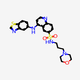 O=S(=O)(NCCCN1CCOCC1)c1ccc2nccc(Nc3ccc4scnc4c3)c2c1